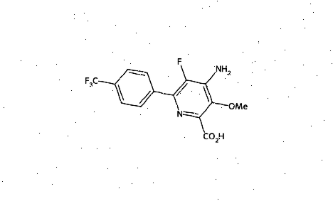 COc1c(C(=O)O)nc(-c2ccc(C(F)(F)F)cc2)c(F)c1N